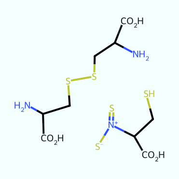 NC(CSSCC(N)C(=O)O)C(=O)O.O=C(O)C(CS)[N+](=S)[S-]